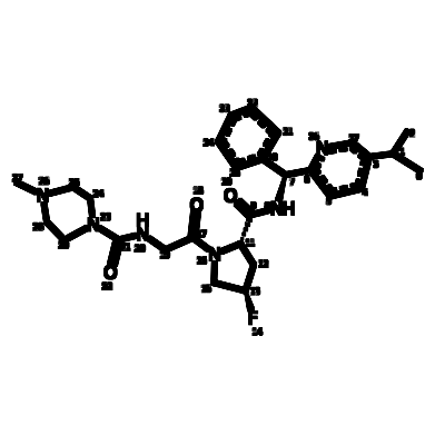 CC(C)c1ccc([C@@H](NC(=O)[C@@H]2C[C@@H](F)CN2C(=O)CNC(=O)N2CCN(C)CC2)c2ccccc2)nc1